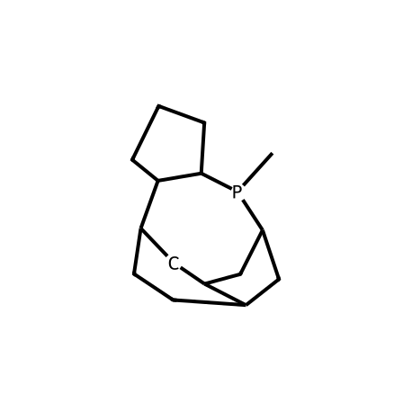 CP1C2CC3CCC(CC3C2)C2CCCC21